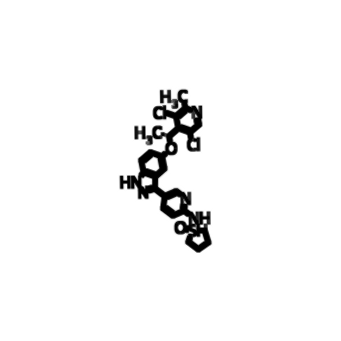 Cc1ncc(Cl)c([C@@H](C)Oc2ccc3[nH]nc(-c4ccc(N[SH]5(=O)CCCC5)nc4)c3c2)c1Cl